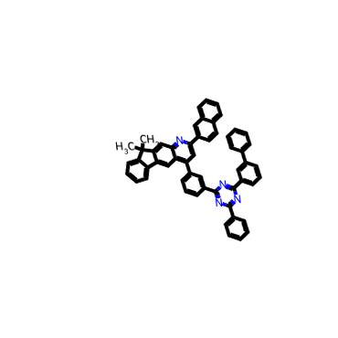 CC1(C)c2ccccc2-c2cc3c(-c4cccc(-c5nc(-c6ccccc6)nc(-c6cccc(-c7ccccc7)c6)n5)c4)cc(-c4ccc5ccccc5c4)nc3cc21